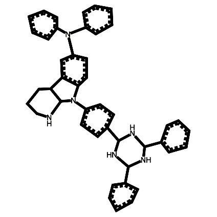 c1ccc(C2NC(c3ccccc3)NC(c3ccc(N4c5ccc(N(c6ccccc6)c6ccccc6)cc5C5CCCNC54)cc3)N2)cc1